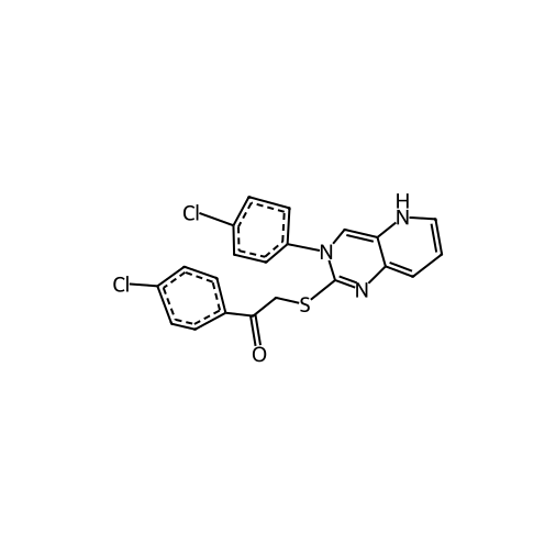 O=C(CSC1=NC2=CC=CNC2=CN1c1ccc(Cl)cc1)c1ccc(Cl)cc1